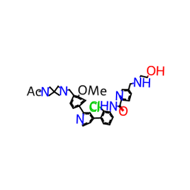 COc1cc(-c2nccc(-c3cccc(NC(=O)c4ccc(CNCCO)cn4)c3Cl)c2Cl)ccc1CN1CC2(C1)CN(C(C)=O)C2